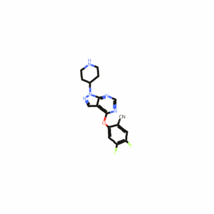 N#Cc1cc(F)c(F)cc1Oc1ncnc2c1cnn2C1CCNCC1